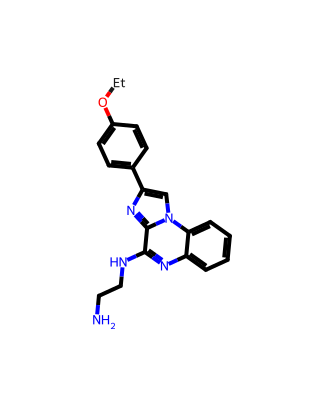 CCOc1ccc(-c2cn3c(n2)c(NCCN)nc2ccccc23)cc1